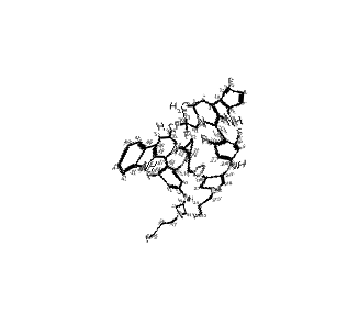 CC1Cc2c([nH]c3ccc(F)cc23)C(c2c(F)cc(NC3CN(CCCF)CC3OCC3CC3N3C(C)Cc4c([nH]c5ccccc45)C3c3c(F)cc(NC4CN(CCCF)C4)cc3F)cc2F)N1CC(F)(F)F